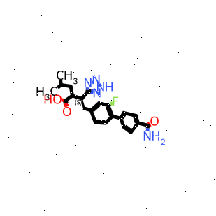 CC(C)CC(C(=O)O)[C@H](Cc1ccc(-c2ccc(C(N)=O)cc2)c(F)c1)c1nn[nH]n1